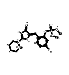 CCOP(=O)(OCC)Oc1cc(F)ccc1C=C1SC(N2CCCCN2)=NC1=O